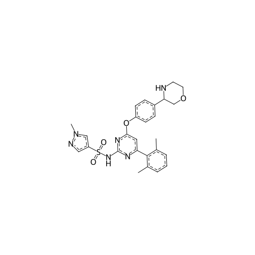 Cc1cccc(C)c1-c1cc(Oc2ccc(C3COCCN3)cc2)nc(NS(=O)(=O)c2cnn(C)c2)n1